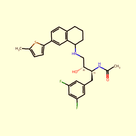 CC(=O)N[C@@H](Cc1cc(F)cc(F)c1)[C@H](O)CNC1CCCc2ccc(-c3ccc(C)s3)cc21